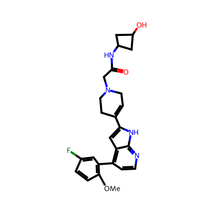 COc1ccc(F)cc1-c1ccnc2[nH]c(C3=CCN(CC(=O)NC4CC(O)C4)CC3)cc12